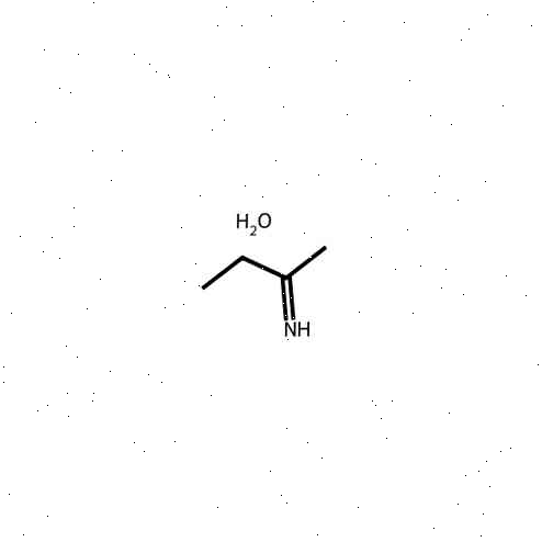 CCC(C)=N.O